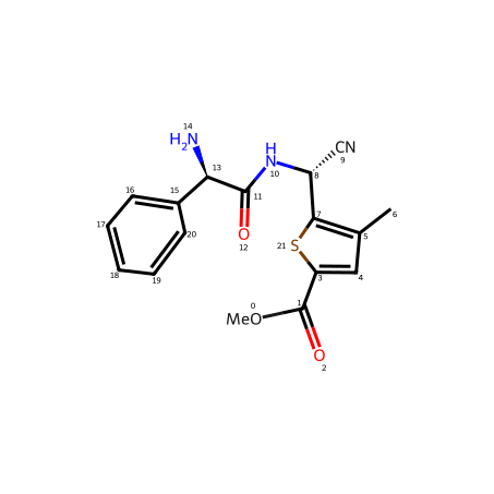 COC(=O)c1cc(C)c([C@@H](C#N)NC(=O)[C@H](N)c2ccccc2)s1